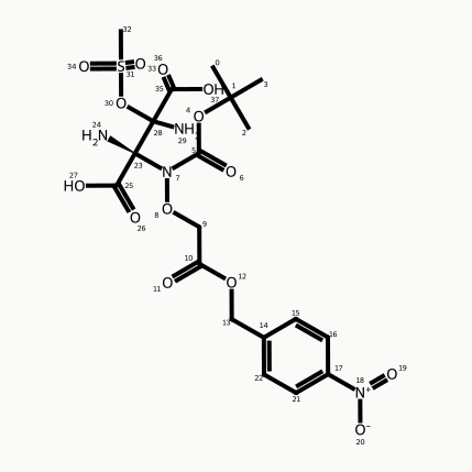 CC(C)(C)OC(=O)N(OCC(=O)OCc1ccc([N+](=O)[O-])cc1)[C@](N)(C(=O)O)C(N)(OS(C)(=O)=O)C(=O)O